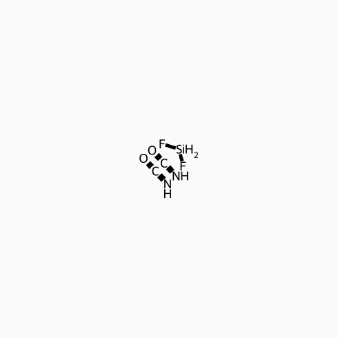 F[SiH2]F.N=C=O.N=C=O